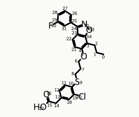 CCCc1c(OCCCSc2ccc(CC(=O)O)cc2Cl)ccc2c(-c3cccc(F)c3)noc12